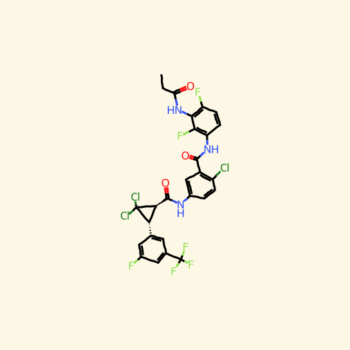 CCC(=O)Nc1c(F)ccc(NC(=O)c2cc(NC(=O)[C@H]3[C@H](c4cc(F)cc(C(F)(F)F)c4)C3(Cl)Cl)ccc2Cl)c1F